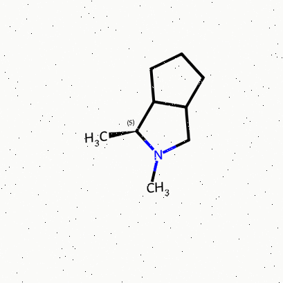 C[C@H]1C2CCCC2CN1C